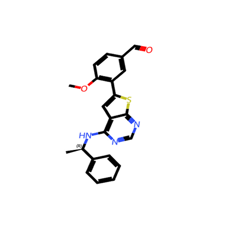 COc1ccc(C=O)cc1-c1cc2c(N[C@H](C)c3ccccc3)ncnc2s1